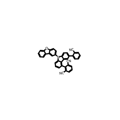 N#Cc1ccccc1-c1ccc2c(c1)c1c(-c3c(C#N)cccc3C#N)cccc1n2-c1ccc2oc3ccccc3c2c1